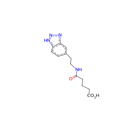 O=C(O)CCCC(=O)NCCc1ccc2[nH]nnc2c1